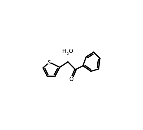 O.O=C(Cc1cccs1)c1ccccc1